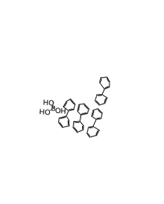 OB(O)O.c1ccc(-c2ccccc2)cc1.c1ccc(-c2ccccc2)cc1.c1ccc(-c2ccccc2)cc1.c1ccc(-c2ccccc2)cc1